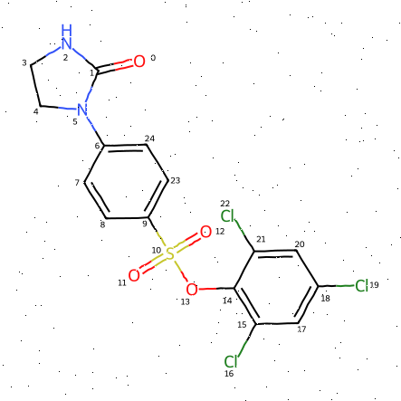 O=C1NCCN1c1ccc(S(=O)(=O)Oc2c(Cl)cc(Cl)cc2Cl)cc1